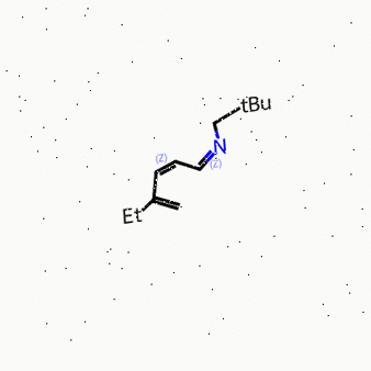 C=C(/C=C\C=N/CC(C)(C)C)CC